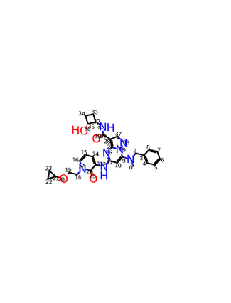 CN(Cc1ccccc1)c1cc(Nc2cccn(CCOC3CC3)c2=O)nc2c(C(=O)N[C@@H]3CC[C@H]3O)cnn12